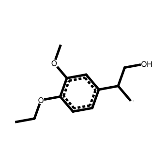 [CH2]C(CO)c1ccc(OCC)c(OC)c1